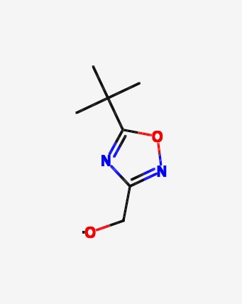 CC(C)(C)c1nc(C[O])no1